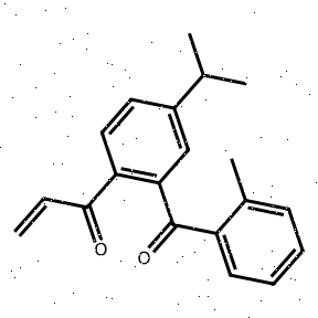 C=CC(=O)c1ccc(C(C)C)cc1C(=O)c1ccccc1C